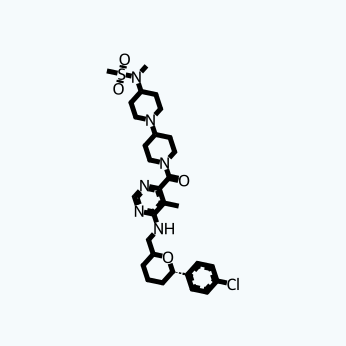 Cc1c(NCC2CCC[C@@H](c3ccc(Cl)cc3)O2)ncnc1C(=O)N1CCC(N2CCC(N(C)S(C)(=O)=O)CC2)CC1